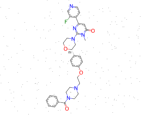 Cn1c(N2CCO[C@@H](c3ccc(OCCN4CCN(C(=O)c5ccccc5)CC4)cc3)C2)nc(-c2ccncc2F)cc1=O